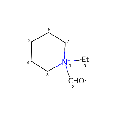 CC[N+]1([C]=O)CCCCC1